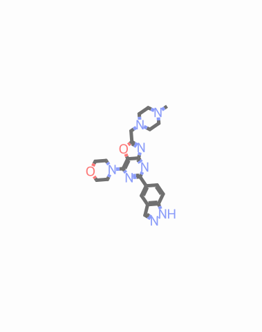 CN1CCN(Cc2nc3nc(-c4ccc5[nH]ncc5c4)nc(N4CCOCC4)c3o2)CC1